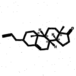 C=CCC1CC[C@@]2(C)C(=CC[C@@H]3[C@H]2CC[C@]2(C)C(=O)CC[C@@H]32)C1